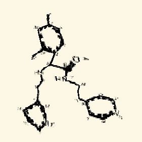 Cc1ccc(C(NCCc2cccnc2)C(=O)NCCc2ccncc2)c(C)c1